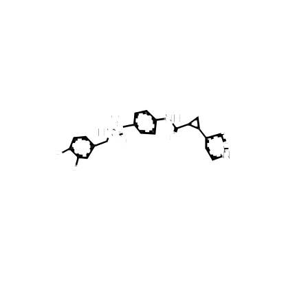 O=C(Nc1ccc(S(=O)(=O)NCc2ccc(F)c(F)c2)cc1)C1CC1c1ccncc1